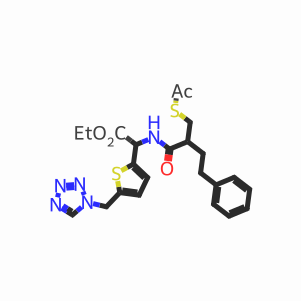 CCOC(=O)C(NC(=O)C(CCc1ccccc1)CSC(C)=O)c1ccc(Cn2cnnn2)s1